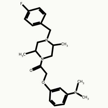 CC1CN(C(=O)COc2cccc(N(C)C)c2)C(C)CN1Cc1ccc(F)cc1